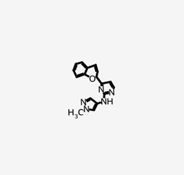 Cn1cc(Nc2nccc(C3C=Cc4ccccc4O3)n2)cn1